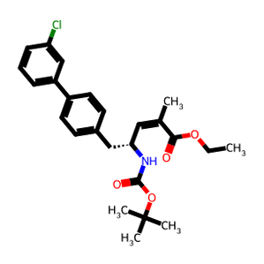 CCOC(=O)C(C)=C[C@@H](Cc1ccc(-c2cccc(Cl)c2)cc1)NC(=O)OC(C)(C)C